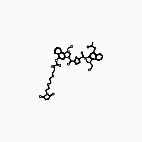 CC(=O)Oc1cc2c(c3ccccc13)C(CCl)CN2C(=O)c1ccc(C(=O)N2C[C@@H](CCl)c3c2cc(OC(=O)NCCOCCOCCN2C(=O)C=CC2=O)c2ccccc32)s1